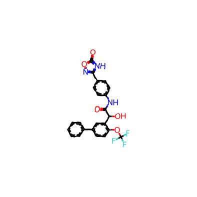 O=C(Nc1ccc(-c2noc(=O)[nH]2)cc1)C(O)c1cc(-c2ccccc2)ccc1OC(F)(F)F